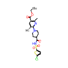 Cc1nc(N2CCC(C(=O)NS(=O)(=O)c3ccc(Cl)s3)CC2)c(C#N)cc1C(=O)OCC(C)(C)C